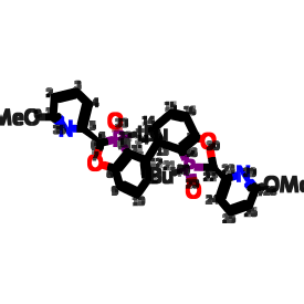 COc1cccc([C@@H]2Oc3cccc(-c4cccc5c4[P@](=O)(C(C)(C)C)[C@H](c4cccc(OC)n4)O5)c3[P@]2(=O)C(C)(C)C)n1